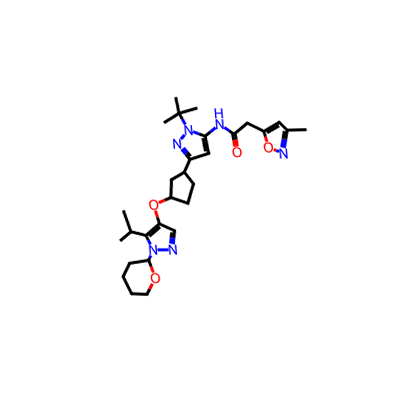 Cc1cc(CC(=O)Nc2cc(C3CCC(Oc4cnn(C5CCCCO5)c4C(C)C)C3)nn2C(C)(C)C)on1